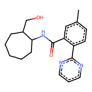 Cc1ccc(-c2ncccn2)c(C(=O)NC2CCCCCC2CO)c1